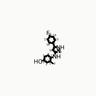 Cc1cc(O)ccc1Nc1cc(-c2ccc(F)cc2)[nH]n1